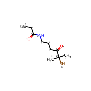 CC(C)(C)CC(=O)NCCCC(=O)C(C)(C)S